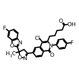 CC1(c2nc3ccc(F)cc3o2)CC(c2ccc3c(=O)n(-c4ccc(F)cc4)c(CCCCC(=O)O)c(Cl)c3c2)=NO1